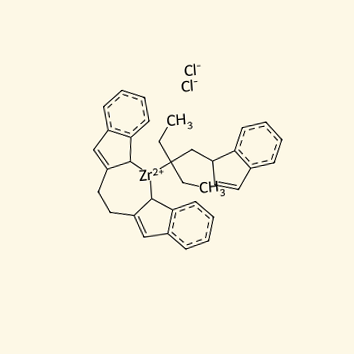 CC[C](CC)(CC1C=Cc2ccccc21)[Zr+2]1[CH]2C(=Cc3ccccc32)CCC2=Cc3ccccc3[CH]21.[Cl-].[Cl-]